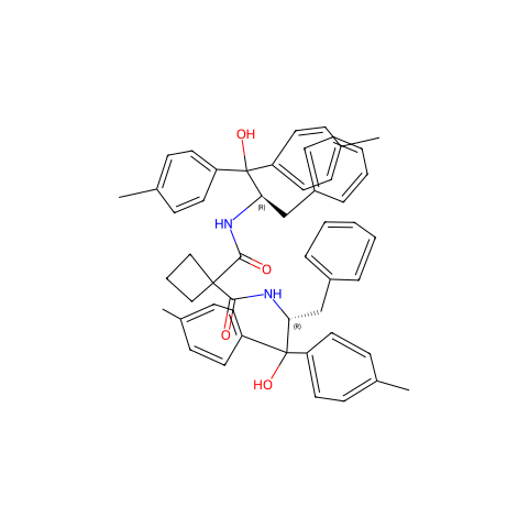 Cc1ccc(C(O)(c2ccc(C)cc2)[C@@H](Cc2ccccc2)NC(=O)C2(C(=O)N[C@H](Cc3ccccc3)C(O)(c3ccc(C)cc3)c3ccc(C)cc3)CCC2)cc1